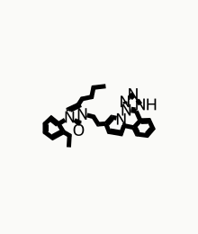 CCCCc1cn(-c2ccccc2CC)c(=O)n1CCc1ccc(-c2ccccc2-c2nnn[nH]2)nc1